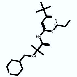 C=C(/C=C(/NC(=O)C(C)(C)NCC1CCOCC1)O[C@H](C)CC)C(C)(C)C